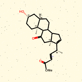 COC(=O)/C=C/[C@@H](C)C1=CCC2C3CC[C@@H]4C[C@@H](O)CC[C@]4(C)C3C(=O)C[C@]12C